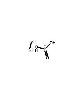 O=[PH](O)O.SS